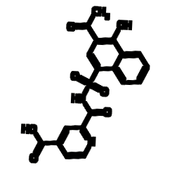 CC(=O)c1cc(S(=O)(=O)NC(=O)c2cc(C(=O)O)ccn2)c2ccccc2c1O